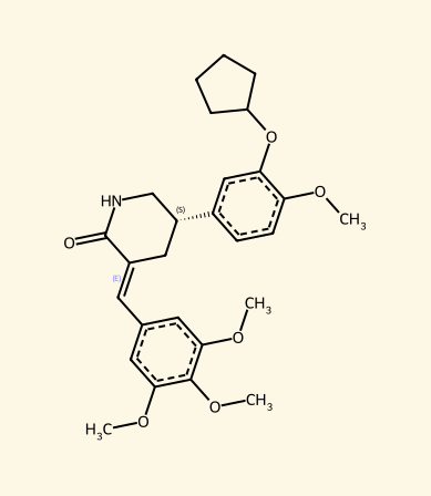 COc1ccc([C@H]2CNC(=O)/C(=C/c3cc(OC)c(OC)c(OC)c3)C2)cc1OC1CCCC1